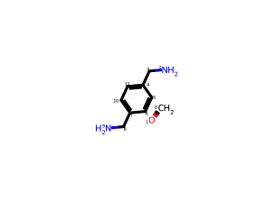 C=O.NCc1ccc(CN)cc1